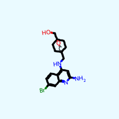 Nc1cc(NCC23CCC(CO)(CC2)OC3)c2ccc(Br)cc2n1